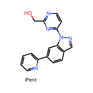 CCC[C@H](C)c1cccc(-c2ccc3cnn(-c4ccnc(CO)n4)c3c2)n1